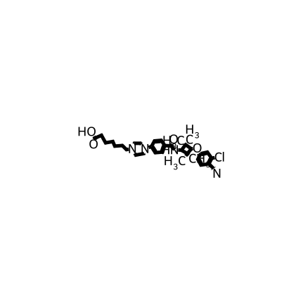 CC1(C)C(NC(=O)c2ccc(N3CCN(CCCCCCC(=O)O)CC3)cc2)C(C)(C)C1Oc1ccc(C#N)c(Cl)c1